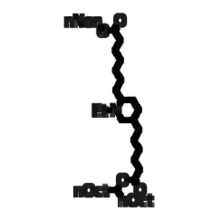 CCCCCCCCCOC(=O)CCCCCCC1CCC(CCCCCC(=O)OC(CCCCCCCC)CCCCCCCC)CN1CC